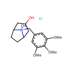 COc1cc(C[N+]2(C)C3CCC2CC(O)C3)cc(OC)c1OC.[Cl-]